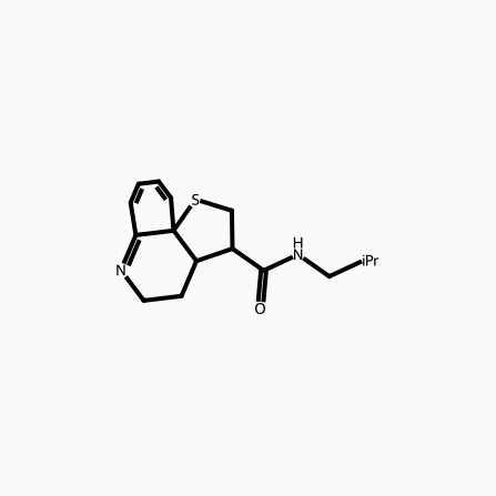 CC(C)CNC(=O)C1CSC23C=CC=CC2=NCCC13